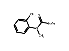 CNC(=O)N(C)c1ccccc1C